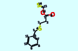 O=C(CCSCc1ccccc1)OC=S